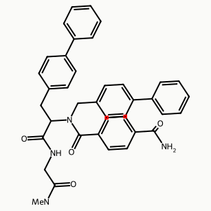 CNC(=O)CNC(=O)C(Cc1ccc(-c2ccccc2)cc1)N(Cc1ccc(-c2ccccc2)cc1)C(=O)c1ccc(C(N)=O)cc1